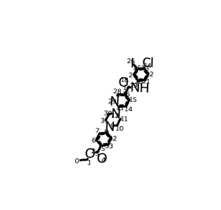 CCOC(=O)c1ccc(N2CCN(c3ccc(C(=O)Nc4ccc(Cl)c(I)c4)cn3)CC2)cc1